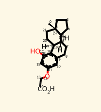 C[C@@]12CCC[C@H]1[C@@H]1CCc3cc(OCC(=O)O)cc(O)c3[C@H]1CC2